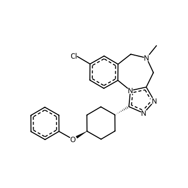 CN1Cc2cc(Cl)ccc2-n2c(nnc2[C@H]2CC[C@H](Oc3ccccc3)CC2)C1